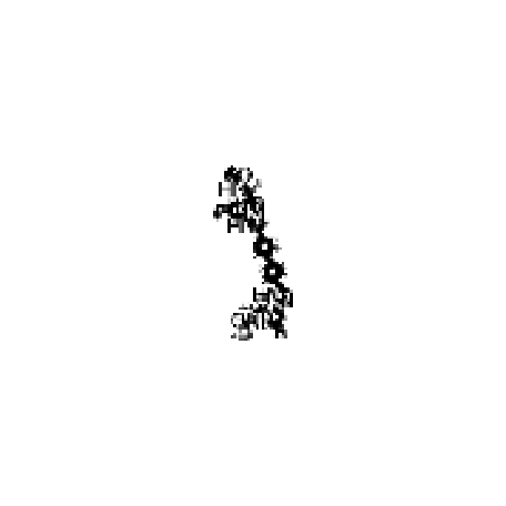 COC(=O)N[C@@H](C)C(=O)N1C[C@@H](F)C[C@H]1C1=NCC(c2ccc(-c3ccc(-c4cnc([C@@H]5C[C@@H](F)CN5C(=O)[C@H](C)NC(=O)OC)[nH]4)cc3)cc2)N1